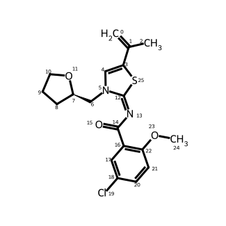 C=C(C)c1cn(C[C@H]2CCCO2)c(=NC(=O)c2cc(Cl)ccc2OC)s1